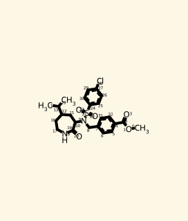 COC(=O)c1ccc(CN(C2CC(C(C)C)CCNC2=O)S(=O)(=O)c2ccc(Cl)cc2)cc1